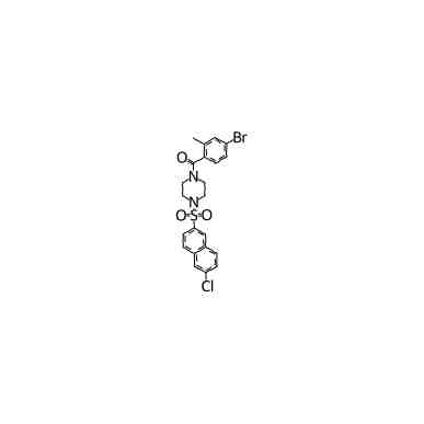 Cc1cc(Br)ccc1C(=O)N1CCN(S(=O)(=O)c2ccc3cc(Cl)ccc3c2)CC1